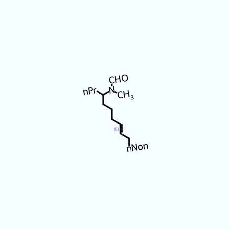 CCCCCCCCCC/C=C/CCCC(CCC)N(C)C=O